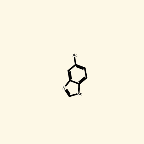 CC(=O)c1ccc2[se]cnc2c1